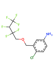 Nc1ccc(Cl)c(COCC(F)(F)C(F)C(F)(F)F)c1